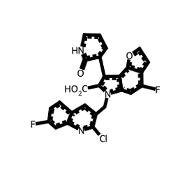 O=C(O)c1c(-c2ccc[nH]c2=O)c2c3occc3c(F)cc2n1Cc1cc2ccc(F)cc2nc1Cl